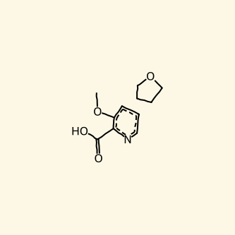 C1CCOC1.COc1cccnc1C(=O)O